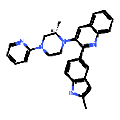 Cc1cc2cc(-c3nc4ccccc4cc3N3CCN(c4ccccn4)C[C@@H]3C)ccc2[nH]1